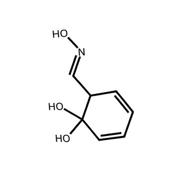 ON=CC1C=CC=CC1(O)O